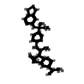 CC(Nc1ccc(C(C)(N)Cc2ccc3c(c2)OCO3)cc1)=C1C(=O)Nc2cc(C(N)=O)ccc21